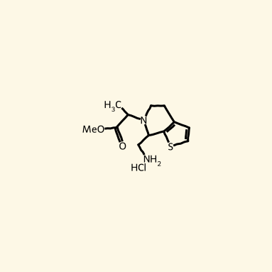 COC(=O)C(C)N1CCc2ccsc2C1CN.Cl